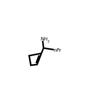 CCCC(N)C1=CCC1